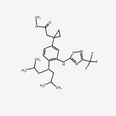 COC(=O)CC1(c2ccc(N(CC(C)C)CC(C)C)c(Nc3nc(C(F)(F)F)ns3)c2)CC1